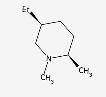 CC[C@H]1CC[C@@H](C)N(C)C1